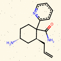 C=CC[C@H]1C[C@H](N)CCC1(C(N)=O)c1ccccn1